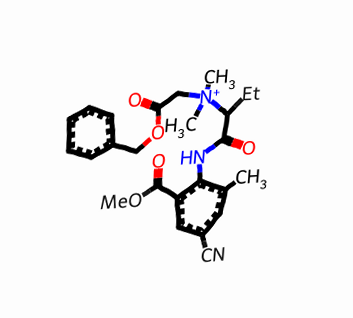 CCC(C(=O)Nc1c(C)cc(C#N)cc1C(=O)OC)[N+](C)(C)CC(=O)OCc1ccccc1